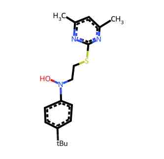 Cc1cc(C)nc(SCCN(O)c2ccc(C(C)(C)C)cc2)n1